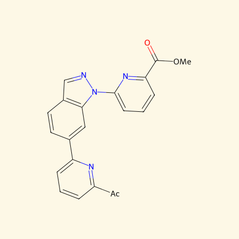 COC(=O)c1cccc(-n2ncc3ccc(-c4cccc(C(C)=O)n4)cc32)n1